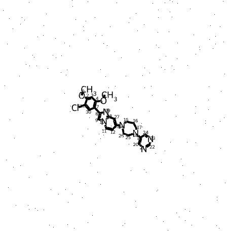 COc1cc(OC)c(-c2cn3ccc(N4CCCN(c5cncnc5)CC4)cc3n2)cc1Cl